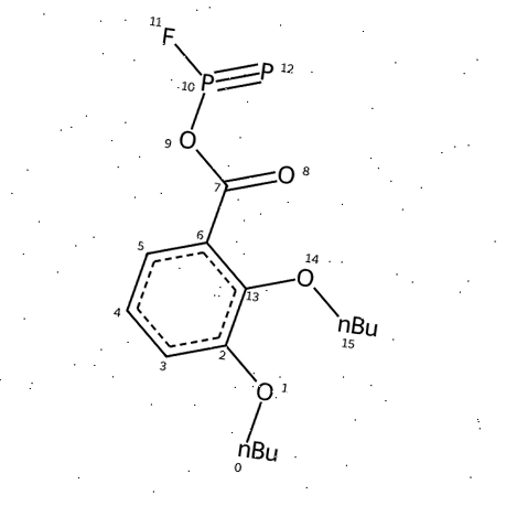 CCCCOc1cccc(C(=O)OP(F)#P)c1OCCCC